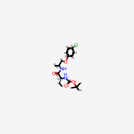 CC[C@H](NC(=O)OC(C)(C)C)C(=O)NC(C)COc1ccc(Cl)cc1